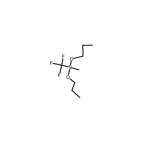 CCCO[Si](C)(OCCC)C(F)(F)F